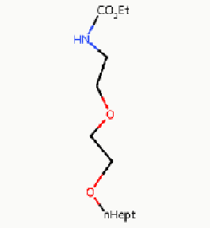 CCCCCCCOCCOCCNC(=O)OCC